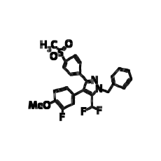 COc1ccc(-c2c(-c3ccc(S(C)(=O)=O)cc3)nn(Cc3ccccc3)c2C(F)F)cc1F